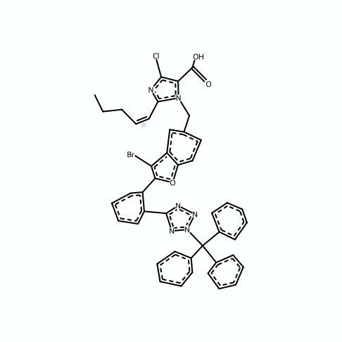 CCC/C=C\c1nc(Cl)c(C(=O)O)n1Cc1ccc2oc(-c3ccccc3-c3nnn(C(c4ccccc4)(c4ccccc4)c4ccccc4)n3)c(Br)c2c1